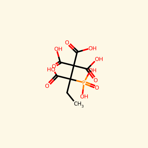 CCC(C(=O)O)(C(C(=O)O)(C(=O)O)C(=O)O)P(=O)(O)O